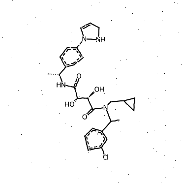 CC(c1cccc(Cl)c1)N(CC1CC1)C(=O)[C@H](O)[C@@H](O)C(=O)N[C@H](C)c1ccc(N2C=CCN2)cc1